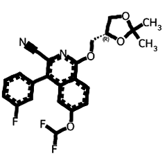 CC1(C)OC[C@@H](COc2nc(C#N)c(-c3cccc(F)c3)c3cc(OC(F)F)ccc23)O1